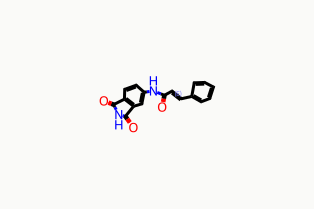 O=C(/C=C/c1ccccc1)Nc1ccc2c(c1)C(=O)NC2=O